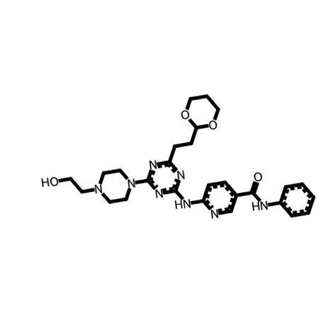 O=C(Nc1ccccc1)c1ccc(Nc2nc(CCC3OCCCO3)nc(N3CCN(CCO)CC3)n2)nc1